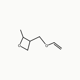 C=COCC1COC1C